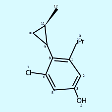 CC(C)c1cc(O)cc(Cl)c1C1C[C@H]1C